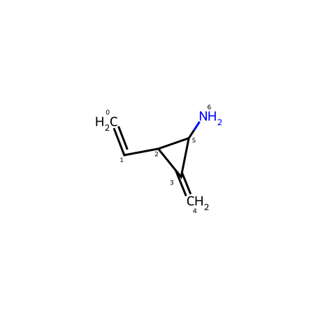 C=CC1C(=C)C1N